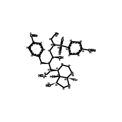 COc1ccc(C[C@@H]([C@H](O)CN(CC(C)C)S(=O)(=O)c2ccc(OC)cc2)N(C(=O)O)[C@H]2CCO[C@H]3OC[C@H](O)[C@@H]32)cc1